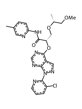 COC[C@@H](C)OC[C@H](Oc1ncnc2c1cnn2-c1ncccc1Cl)C(=O)Nc1ccc(C)cn1